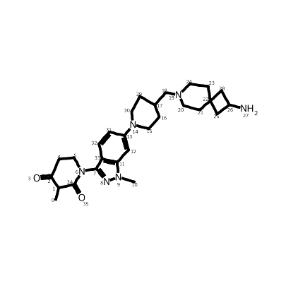 CC1C(=O)CCN(c2nn(C)c3cc(N4CCC(CN5CCC6(CC5)CC(N)C6)CC4)ccc23)C1=O